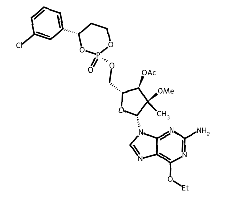 CCOc1nc(N)nc2c1ncn2[C@@H]1O[C@H](CO[P@@]2(=O)OCC[C@@H](c3cccc(Cl)c3)O2)[C@@H](OC(C)=O)[C@@]1(C)OC